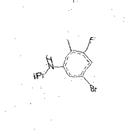 Cc1c(F)cc(Br)cc1NC(C)C